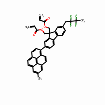 C=CC(=O)OCC1(COC(=O)C=C)c2cc(CC(F)(F)C(F)(F)C(F)(F)F)ccc2-c2ccc(-c3ccc4ccc5cc(C(C)(C)C)cc6ccc3c4c56)cc21